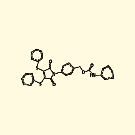 O=C(Nc1ccccc1)OCc1ccc(N2C(=O)C(Sc3ccccc3)=C(Sc3ccccc3)C2=O)cc1